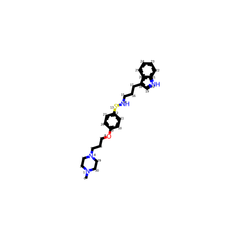 CN1CCN(CCCOc2ccc(SNCCCc3c[nH]c4ccccc34)cc2)CC1